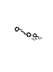 N[C@@]1(CO)CC[C@@H](c2ccc(CCCOc3ccccc3)cc2)C1